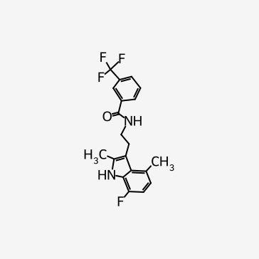 Cc1[nH]c2c(F)ccc(C)c2c1CCNC(=O)c1cccc(C(F)(F)F)c1